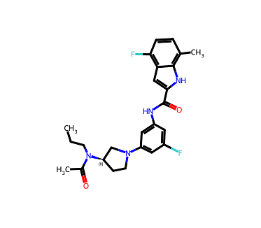 CCCN(C(C)=O)[C@@H]1CCN(c2cc(F)cc(NC(=O)c3cc4c(F)ccc(C)c4[nH]3)c2)C1